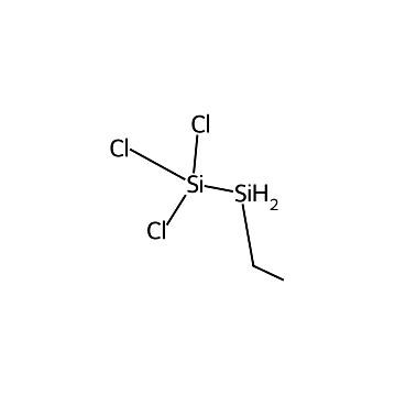 CC[SiH2][Si](Cl)(Cl)Cl